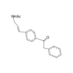 CC(=O)NC/C=C/c1ccc(C(=O)Cc2ccccc2)cc1